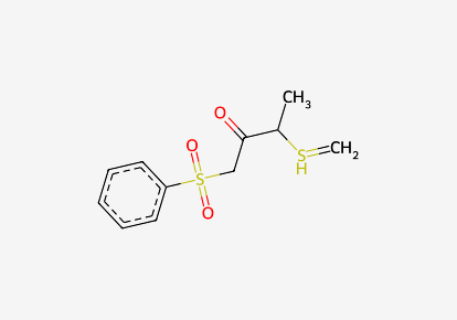 C=[SH]C(C)C(=O)CS(=O)(=O)c1ccccc1